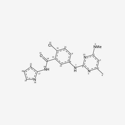 CNc1cc(C)nc(Nc2ccc(Cl)c(C(=O)Nc3nccs3)c2)n1